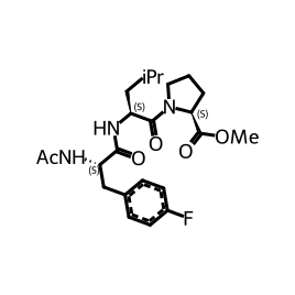 COC(=O)[C@@H]1CCCN1C(=O)[C@H](CC(C)C)NC(=O)[C@H](Cc1ccc(F)cc1)NC(C)=O